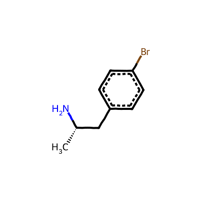 C[C@H](N)Cc1ccc(Br)cc1